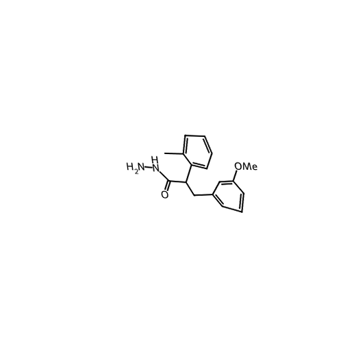 COc1cccc(CC(C(=O)NN)c2ccccc2C)c1